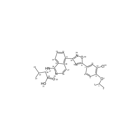 CC(C)Oc1ccc(-c2nc(-c3cccc4c(N[C@H](C(=O)O)C(C)C)nccc34)no2)cc1Cl